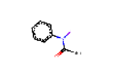 CCCCC(=O)N(I)c1[c]cccc1